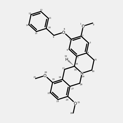 COc1cc2c(cc1OCc1ccccc1)[C@@H]1Cc3c(OC)ccc(OC)c3CN1CC2